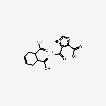 O=C(O)C1CC=CCC1C(=O)O.O=C(O)c1nc[nH]c1C(=O)O